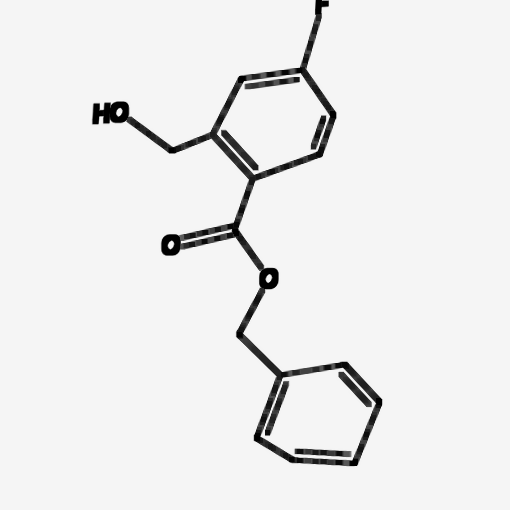 O=C(OCc1ccccc1)c1ccc(F)cc1CO